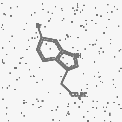 CCOC(=O)Cc1c[nH]c2cc(Br)ccc12